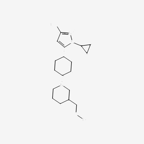 CCSCC1CCCN([C@H]2CC[C@@H](c3cc(C(F)(F)F)nn3C3CC3)CC2)C1